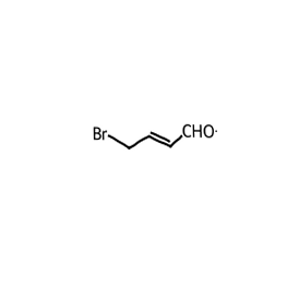 O=[C]C=CCBr